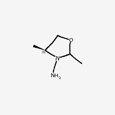 CC1OC[C@H](C)N1N